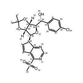 CC1(C)O[C@H]2[C@@H](O1)[C@H](n1ccc3c(S(C)(=O)=O)ncnc31)O[C@@H]2[C@H](O)c1ccc(Cl)cc1